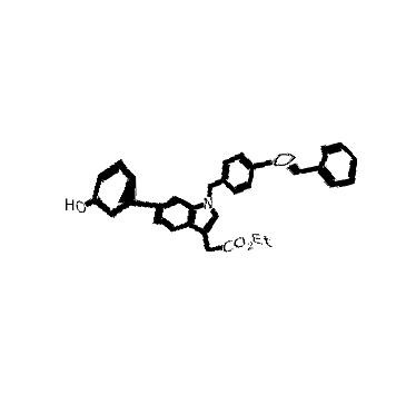 CCOC(=O)Cc1cn(Cc2ccc(OCc3ccccc3)cc2)c2cc(-c3cccc(O)c3)ccc12